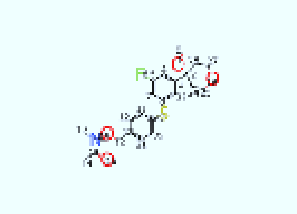 COC1(c2cc(F)cc(Sc3ccc(CON(C)C(C)=O)cc3)c2)CCOCC1